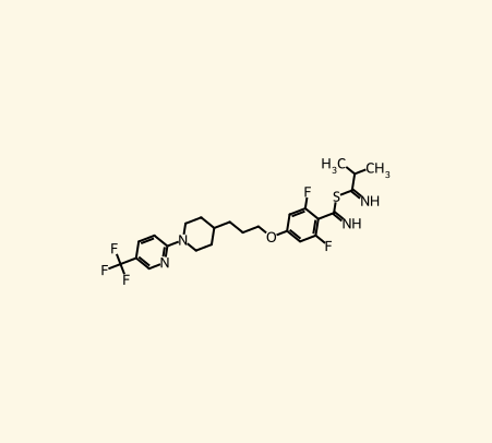 CC(C)C(=N)SC(=N)c1c(F)cc(OCCCC2CCN(c3ccc(C(F)(F)F)cn3)CC2)cc1F